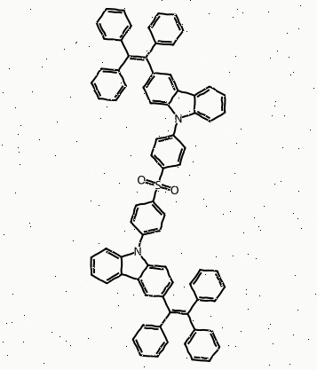 O=S(=O)(c1ccc(-n2c3ccccc3c3cc(C(=C(c4ccccc4)c4ccccc4)c4ccccc4)ccc32)cc1)c1ccc(-n2c3ccccc3c3cc(C(=C(c4ccccc4)c4ccccc4)c4ccccc4)ccc32)cc1